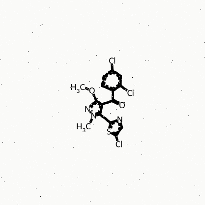 COc1nn(C)c(-c2ncc(Cl)s2)c1C(=O)c1ccc(Cl)cc1Cl